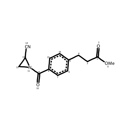 COC(=O)CCc1ccc(C(=O)N2CC2C#N)cc1